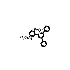 CNc1ccc(NC)c(-c2cc(-c3ccccc3)cc(-c3ccccc3)n2)c1